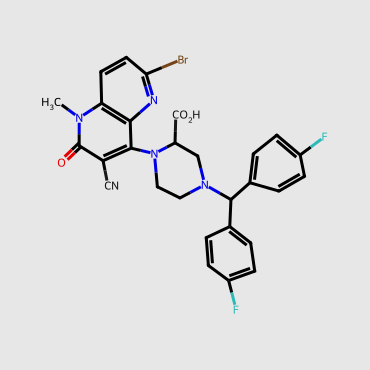 Cn1c(=O)c(C#N)c(N2CCN(C(c3ccc(F)cc3)c3ccc(F)cc3)CC2C(=O)O)c2nc(Br)ccc21